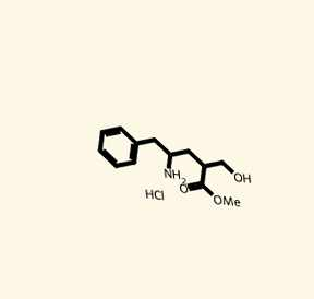 COC(=O)C(CO)CC(N)Cc1ccccc1.Cl